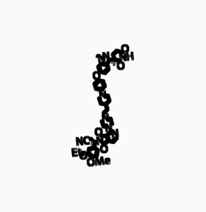 CCOc1cc([C@@H](CC#N)N2C(=O)c3ccnc(N4CCN(CCC5CCN(c6ccc(Oc7ccc8c([C@@]9(C)CCC(=O)NC9=O)nn(C)c8c7)cc6)CC5)CC4)c3C2=O)ccc1OC